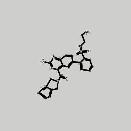 NCCNS(=O)(=O)c1ccccc1-c1ccc2nc(N)nc(C(=O)N3Cc4ccccc4C3)c2c1